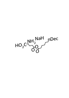 CCCCCCCCCCCCCCCC(=O)OC(=O)CC[C@H](N)C(=O)O.[NaH]